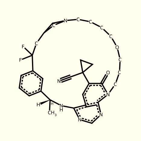 C[C@H]1Nc2ncnc3c2cc(C2(C#N)CC2)c(=O)n3CCCOCCCCN2CC(C2)CC(F)(F)c2cccc1c2